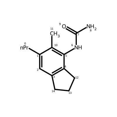 CCCc1cc2c(c(NC(N)=O)c1C)CCC2